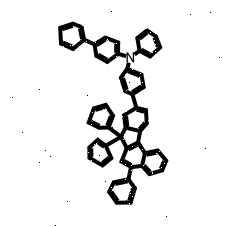 c1ccc(-c2ccc(N(c3ccccc3)c3ccc(-c4ccc5c(c4)C(c4ccccc4)(c4ccccc4)c4cc(-c6ccccc6)c6ccccc6c4-5)cc3)cc2)cc1